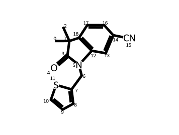 CC1(C)C(=O)N(Cc2cccs2)c2cc(C#N)ccc21